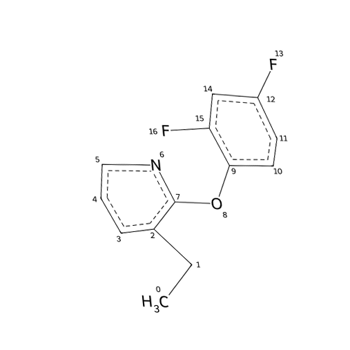 CCc1cccnc1Oc1ccc(F)cc1F